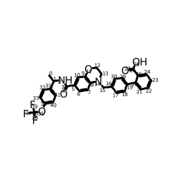 CC(NC(=O)c1ccc2c(c1)OCCN2Cc1ccc(-c2ccccc2C(=O)O)cc1)c1ccc(OC(F)(F)F)cc1